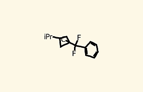 CC(C)C12CC(C(F)(F)c3ccccc3)(C1)C2